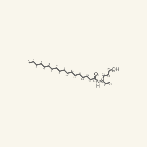 CCCCCCCCCCCCCCCCCC(=O)NN(CC)CCCO